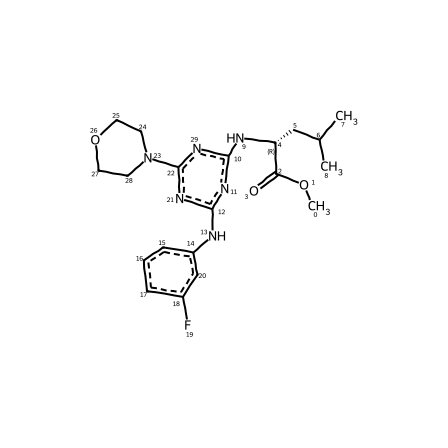 COC(=O)[C@@H](CC(C)C)Nc1nc(Nc2cccc(F)c2)nc(N2CCOCC2)n1